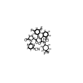 N#Cc1ccnc(N2C(=O)CCC2C(=O)N(c2cc(F)cc(F)c2)[C@H](C(=O)NC2CCC(F)(F)CC2)c2ccccc2Cl)n1